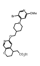 CCOC(=O)CC1CCOc2cnc(OCC3CCN(c4cc(OC)ncc4Br)CC3)cc21